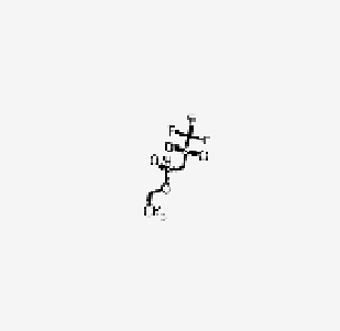 CCO[PH](=O)CS(=O)(=O)C(F)(F)F